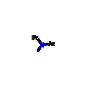 [CH2]C(=O)N(C)C(C)C